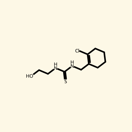 OCCNC(=S)NCC1=C(Cl)CCCC1